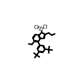 CCCC1=Cc2c(ccc(CC)c2-c2cc(C(C)(C)C)cc(C(C)(C)C)c2)[CH]1[Zr]([Cl])[Cl]